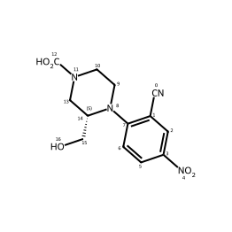 N#Cc1cc([N+](=O)[O-])ccc1N1CCN(C(=O)O)C[C@H]1CO